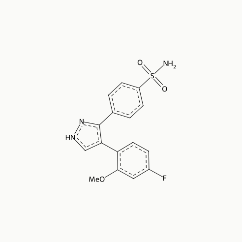 COc1cc(F)ccc1-c1c[nH]nc1-c1ccc(S(N)(=O)=O)cc1